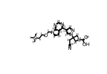 C[Si](C)(C)CCOCn1ccc2c(-c3cnn(C4(CC#N)CN(C(=O)O)C4)c3)ncnc21